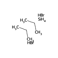 Br.Br.CCC.CCC.[SiH4]